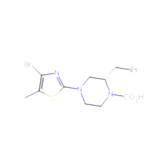 Cc1sc(N2CCN(C(=O)O)[C@@H](CC(C)C)C2)nc1Br